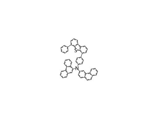 c1ccc(-c2cccc3c2sc2c(-c4ccc(N(c5ccc6ccc7ccccc7c6c5)c5cc6ccccc6c6ccccc56)cc4)cccc23)cc1